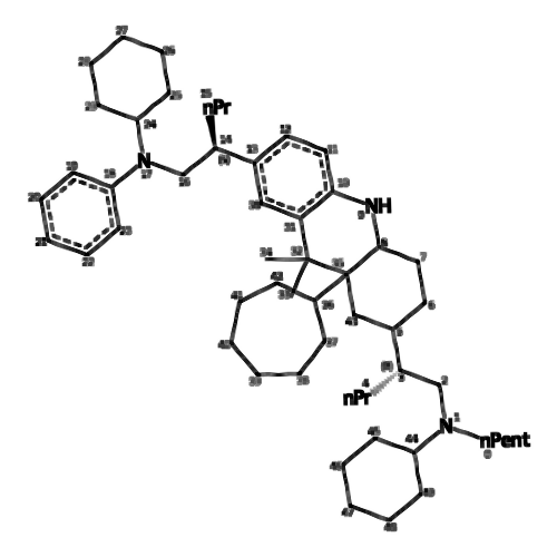 CCCCCN(C[C@H](CCC)C1CCC2Nc3ccc([C@H](CCC)CN(c4ccccc4)C4CCCCC4)cc3C(C)(C)C2(C2CCCCCC2)C1)C1CCCCC1